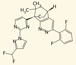 CC1(C)C[C@H]2CC[C@]1(c1ccnc(-n3ccc(C(F)F)n3)n1)c1nnc(-c3c(F)cccc3F)cc12